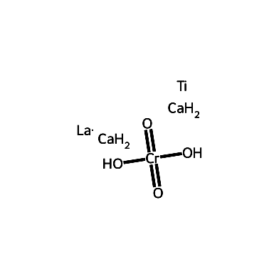 [CaH2].[CaH2].[La].[O]=[Cr](=[O])([OH])[OH].[Ti]